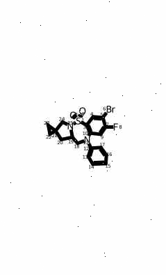 O=S1(=O)c2cc(Br)c(F)cc2N(c2ccccc2)CC2CC3(CC3)CN21